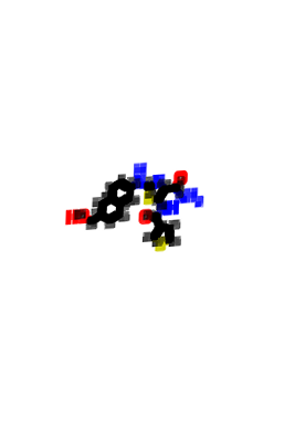 NC(=O)c1nc(Nc2ccc3cc(CO)ccc3c2)sc1NC(=O)c1ccsc1